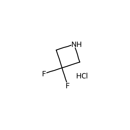 Cl.FC1(F)CNC1